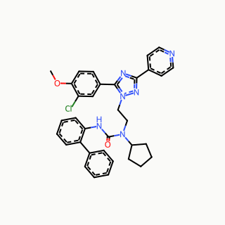 COc1ccc(-c2nc(-c3ccncc3)nn2CCN(C(=O)Nc2ccccc2-c2ccccc2)C2CCCC2)cc1Cl